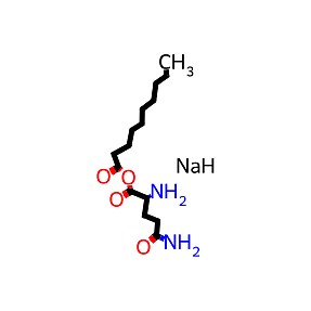 CCCCCCCCCC(=O)OC(=O)[C@@H](N)CCC(N)=O.[NaH]